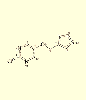 Clc1ncc(OCc2ccsc2)cn1